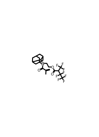 C=C(C)C(=O)OC12CC3CC(C1)C(OCCOC(=O)C(C(F)(F)F)C(F)(F)C(F)(F)F)C(C3)C2